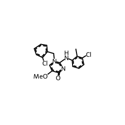 COc1cn(Cc2ccccc2Cl)c(Nc2cccc(Cl)c2C)nc1=O